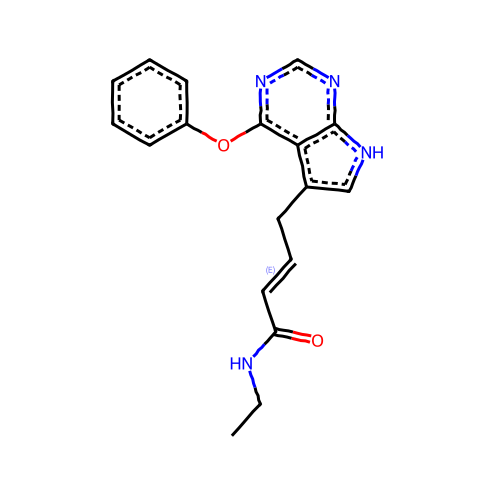 CCNC(=O)/C=C/Cc1c[nH]c2ncnc(Oc3ccccc3)c12